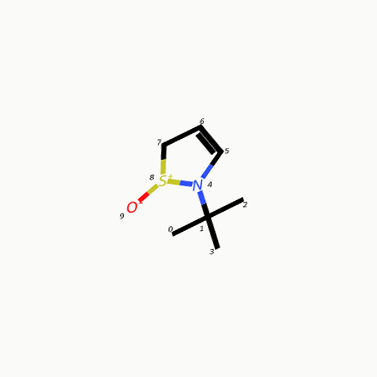 CC(C)(C)N1C=CC[S+]1[O-]